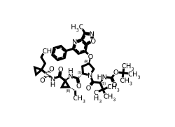 CCCC1(S(=O)(=O)NC(=O)[C@@]2(NC(=O)[C@@H]3C[C@@H](Oc4cc(-c5ccccc5)nc5c(C)noc45)CN3C(=O)[C@@H](NC(=O)OC(C)(C)C)C(C)(C)C)C[C@H]2CC)CC1